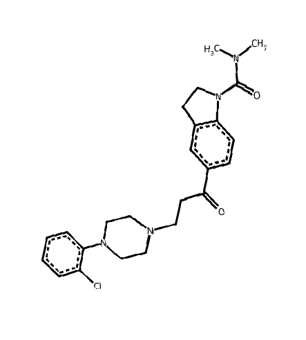 CN(C)C(=O)N1CCc2cc(C(=O)CCN3CCN(c4ccccc4Cl)CC3)ccc21